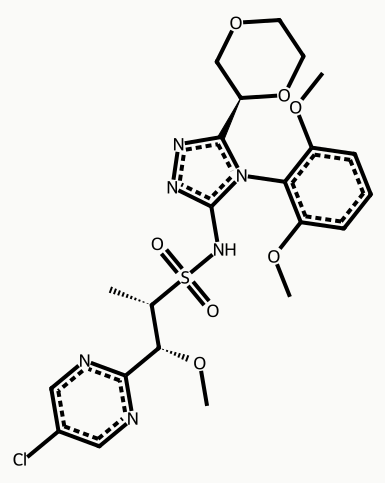 COc1cccc(OC)c1-n1c(NS(=O)(=O)[C@@H](C)[C@H](OC)c2ncc(Cl)cn2)nnc1[C@H]1COCCO1